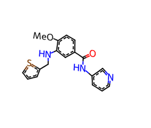 COc1ccc(C(=O)Nc2cccnc2)cc1NCc1cccs1